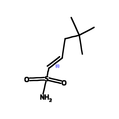 CC(C)(C)C/C=C/S(N)(=O)=O